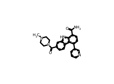 CN1CCN(C(=O)c2ccc3c(c2)[nH]c2c(C(N)=O)ccc(-c4cccnc4)c23)CC1